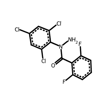 NN(C(=O)c1c(F)cccc1F)c1c(Cl)cc(Cl)cc1Cl